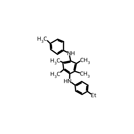 CCc1ccc(Nc2c(C)c(C)c(Nc3ccc(C)cc3)c(C)c2C)cc1